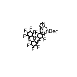 CCCCCCCCCCCC1=NCCN1.Fc1c(F)c(F)c(B(c2c(F)c(F)c(F)c(F)c2F)c2c(F)c(F)c(F)c(F)c2F)c(F)c1F